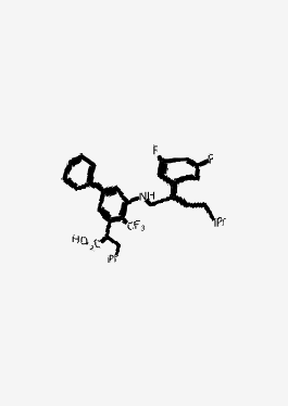 CC(C)CCC(CNc1cc(-c2ccccc2)cc(C(CC(C)C)C(=O)O)c1C(F)(F)F)c1cc(F)cc(F)c1